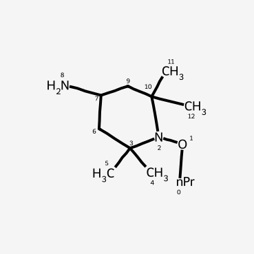 CCCON1C(C)(C)CC(N)CC1(C)C